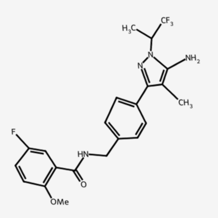 COc1ccc(F)cc1C(=O)NCc1ccc(-c2nn(C(C)C(F)(F)F)c(N)c2C)cc1